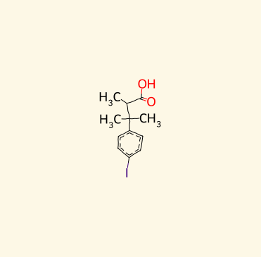 CC(C(=O)O)C(C)(C)c1ccc(I)cc1